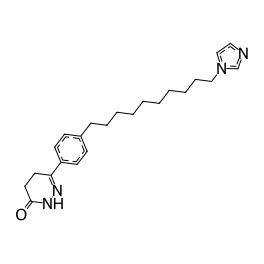 O=C1CCC(c2ccc(CCCCCCCCCCn3ccnc3)cc2)=NN1